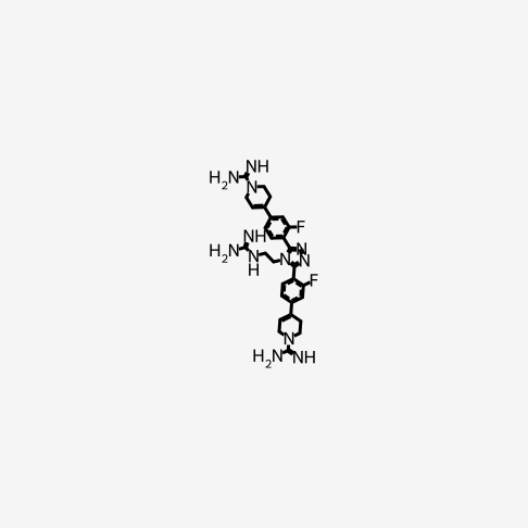 N=C(N)NCCn1c(-c2ccc(C3=CCN(C(=N)N)CC3)cc2F)nnc1-c1ccc(C2=CCN(C(=N)N)CC2)cc1F